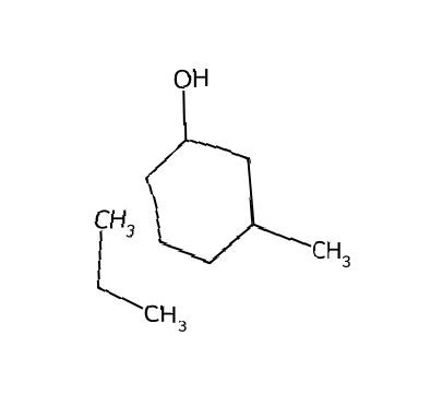 CC1CCCC(O)C1.CCC